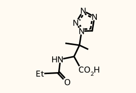 CCC(=O)NC(C(=O)O)C(C)(C)n1cnnn1